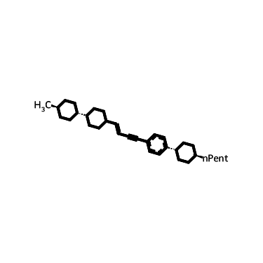 CCCCC[C@H]1CC[C@H](c2ccc(C#C/C=C/C3CCC([C@H]4CC[C@H](C)CC4)CC3)cc2)CC1